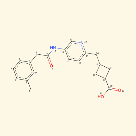 Cc1cccc(CC(=O)Nc2ccc(CC3CC(C(=O)O)C3)nc2)c1